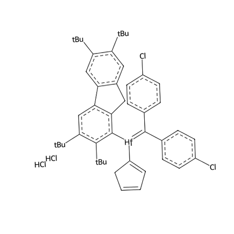 CC(C)(C)c1cc2c(cc1C(C)(C)C)-c1cc(C(C)(C)C)c(C(C)(C)C)[c]([Hf]([C]3=CC=CC3)=[C](c3ccc(Cl)cc3)c3ccc(Cl)cc3)c1C2.Cl.Cl